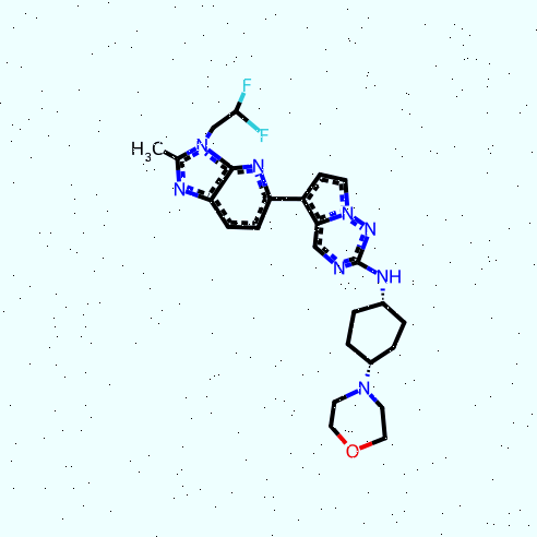 Cc1nc2ccc(-c3ccn4nc(N[C@H]5CC[C@@H](N6CCOCC6)CC5)ncc34)nc2n1CC(F)F